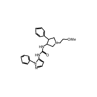 COCCN1CC(NC(=O)Nc2ccnn2-c2ccccc2)C(c2ccccc2)C1